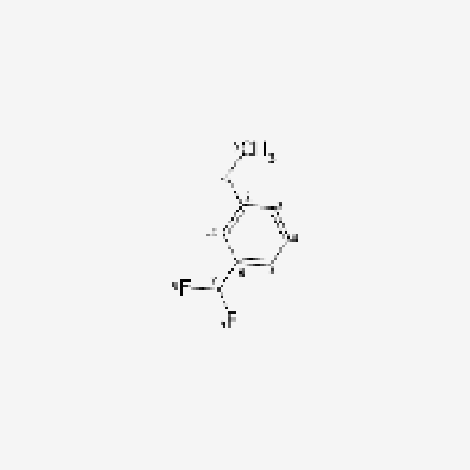 C[CH]c1cccc(C(F)F)c1